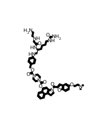 CN(C)CCOc1ccc2oc(C(=O)N3CCc4c3cc(OC(=O)N3CCN(C(=O)OCc5ccc(NC[C@H](CCCCNC(N)=O)NC(=O)CNCCN)cc5)CC3)c3ccccc43)cc2c1